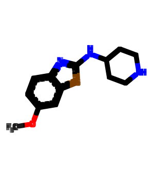 FC(F)(F)Oc1ccc2nc(NC3CCNCC3)sc2c1